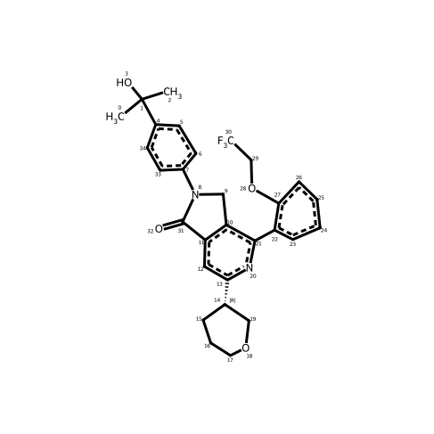 CC(C)(O)c1ccc(N2Cc3c(cc([C@H]4CCCOC4)nc3-c3ccccc3OCC(F)(F)F)C2=O)cc1